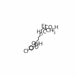 CCC(CCCCCCCNS(=O)(=O)c1ccc(Cl)cc1)C(C)(C)C(=O)O